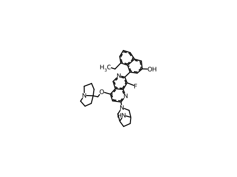 CCc1cccc2cc(O)cc(-c3ncc4c(OCC56CCCN5CCC6)cc(N5CC6CCC(C5)N6)nc4c3F)c12